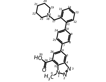 Cn1nnc2cc(-c3ccc(-c4ccccc4CN4CCCCC4)cc3)cc(C(=O)O)c21